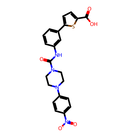 O=C(O)c1ccc(-c2cccc(NC(=O)N3CCN(c4ccc([N+](=O)[O-])cc4)CC3)c2)s1